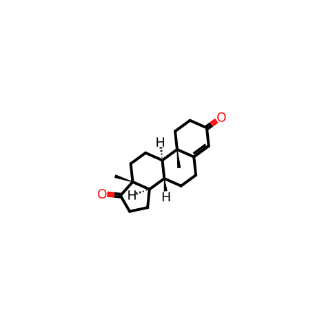 C[C@@]12CC[C@@H]3[C@H](CCC4=CC(=O)CC[C@]43C)[C@H]1CCC2=O